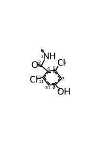 CNC(=O)c1c(Cl)cc(O)cc1Cl